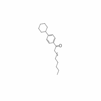 CCCCCSCC(=O)c1ccc(C2CCCCC2)cc1